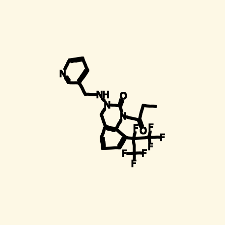 CCC(=O)N1C(=O)N(NCc2cccnc2)Cc2cccc(C(F)(C(F)(F)F)C(F)(F)F)c21